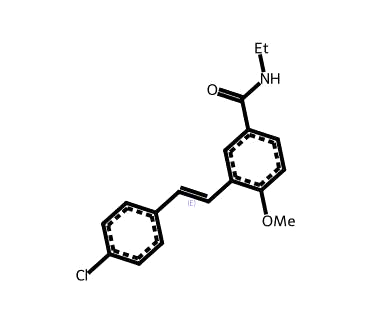 CCNC(=O)c1ccc(OC)c(/C=C/c2ccc(Cl)cc2)c1